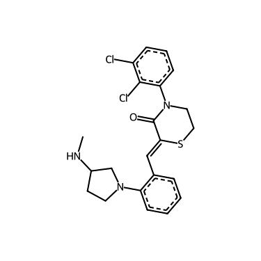 CNC1CCN(c2ccccc2C=C2SCCN(c3cccc(Cl)c3Cl)C2=O)C1